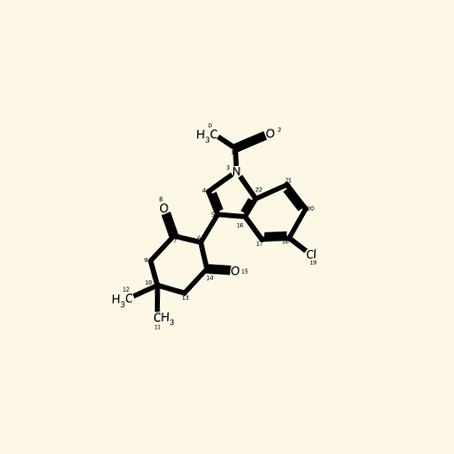 CC(=O)n1cc(C2C(=O)CC(C)(C)CC2=O)c2cc(Cl)ccc21